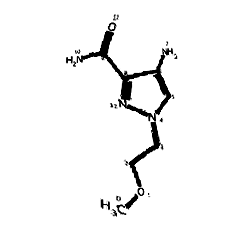 COCCn1cc(N)c(C(N)=O)n1